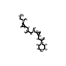 CC(C)CN(C)C1CC1CC(C)CN(C)C1CC1CC(C)N1CCOCC1